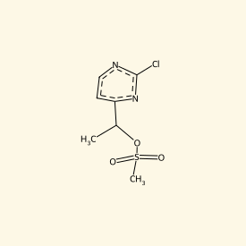 CC(OS(C)(=O)=O)c1ccnc(Cl)n1